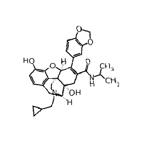 CC(C)NC(=O)C1=C(c2ccc3c(c2)OCO3)[C@@H]2Oc3c(O)ccc4c3[C@@]23CCN(CC2CC2)[C@H](C4)[C@]3(O)C1